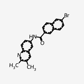 Cc1cc2cc(NC(=O)c3ccc4cc(Br)ccc4c3)ccc2nc1C